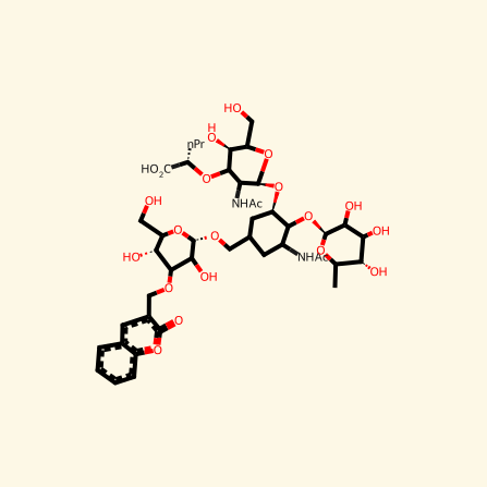 CCC[C@H](OC1C(NC(C)=O)[C@H](O[C@@H]2CC(CO[C@H]3OC(CO)[C@@H](O)C(OCc4cc5ccccc5oc4=O)C3O)CC(NC(C)=O)C2O[C@@H]2OC(C)[C@@H](O)C(O)C2O)OC(CO)[C@@H]1O)C(=O)O